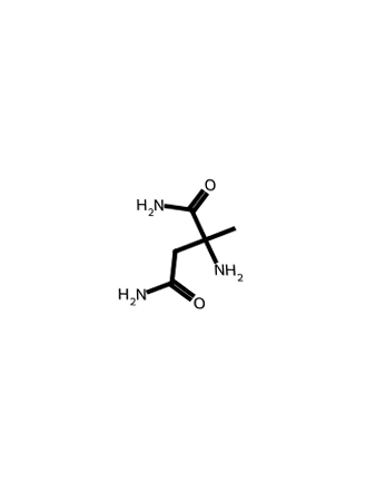 CC(N)(CC(N)=O)C(N)=O